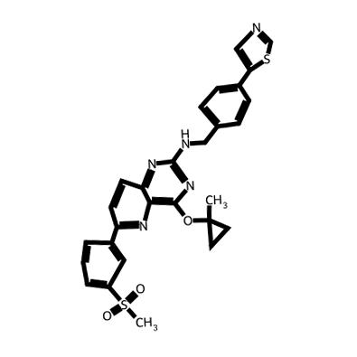 CC1(Oc2nc(NCc3ccc(-c4cncs4)cc3)nc3ccc(-c4cccc(S(C)(=O)=O)c4)nc23)CC1